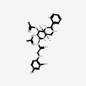 CC(=O)O[C@@H]1[C@@H](OC(C)=O)[C@H](OC(=O)COc2ccc(Cl)cc2Cl)O[C@@H]2COC(c3ccccc3)O[C@@H]12